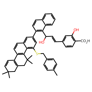 Cc1ccc(CSc2cc(-c3ccc4ccccc4c3C(O)C=Cc3ccc(C(=O)O)c(O)c3)cc3ccc4c(c23)C(C)(C)CC2=C4C=CC(C)(C)C2)cc1